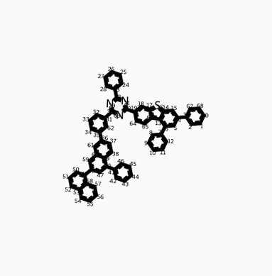 c1ccc(-c2cc(-c3ccccc3)c3c(c2)sc2cc(-c4nc(-c5ccccc5)nc(-c5cccc(-c6ccc7c(-c8ccccc8)cc(-c8cccc9ccccc89)cc7c6)c5)n4)ccc23)cc1